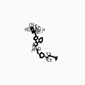 CCN(C(=O)C1CC1)[C@H]1CC[C@H](CC(=O)Nc2cc(-c3ccccc3)c(-c3ccc([C@]4(NC(=O)O)C[C@@](C)(O)C4)cc3)nn2)CC1